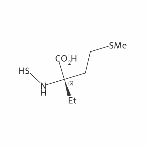 CC[C@@](CCSC)(NS)C(=O)O